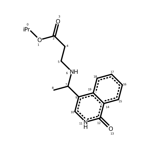 CC(C)OC(=O)CCNC(C)c1c[nH]c(=O)c2ccccc12